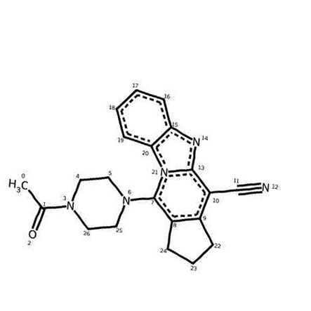 CC(=O)N1CCN(c2c3c(c(C#N)c4nc5ccccc5n24)CCC3)CC1